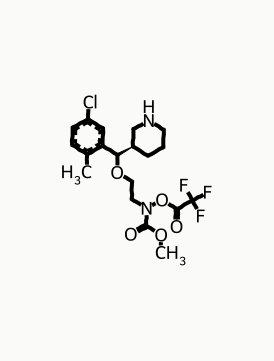 COC(=O)N(CCOC(c1cc(Cl)ccc1C)[C@@H]1CCCNC1)OC(=O)C(F)(F)F